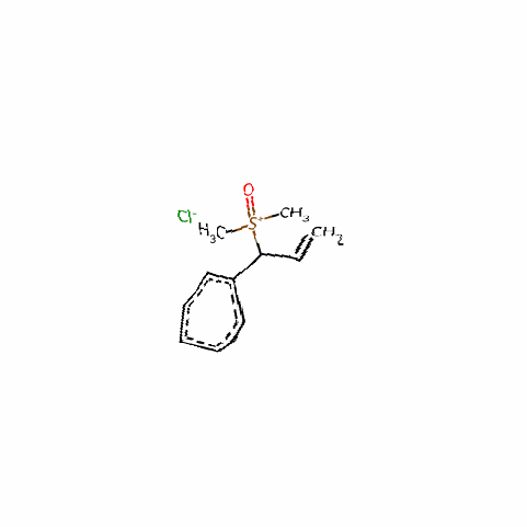 C=CC(c1ccccc1)[S+](C)(C)=O.[Cl-]